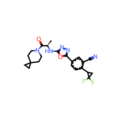 C[C@@H](Nc1nnc(-c2ccc(C3CC3(F)F)c(C#N)c2)o1)C(=O)N1CCC2(CC1)CC2